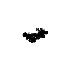 COc1nc(N)nc2c1ncn2[C@@H]1OC(COP2(=O)N[C@H](C(=O)O[C@@H](C)c3ccccc3)CCS2)[C@@H](O)[C@@]1(C)O